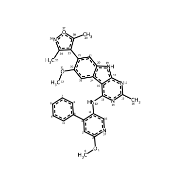 COc1cc(-c2ccccc2)c(Nc2nc(C)nc3[nH]c4cc(-c5c(C)noc5C)c(OC)cc4c23)cn1